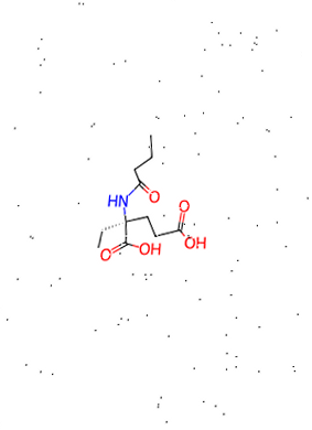 CCCC(=O)N[C@@](CC)(CCC(=O)O)C(=O)O